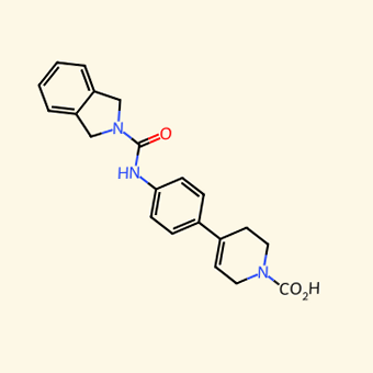 O=C(O)N1CC=C(c2ccc(NC(=O)N3Cc4ccccc4C3)cc2)CC1